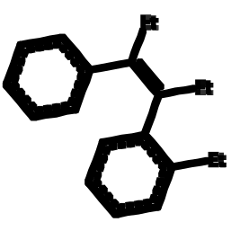 CCC(=C(CC)c1ccccc1CC)c1ccccc1